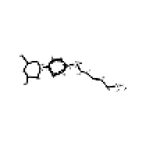 CC1CC(C)CN(c2ccc(NCCCCCN)cc2)C1